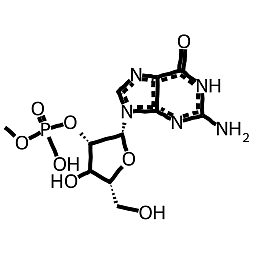 COP(=O)(O)O[C@H]1C(O)[C@@H](CO)O[C@H]1n1cnc2c(=O)[nH]c(N)nc21